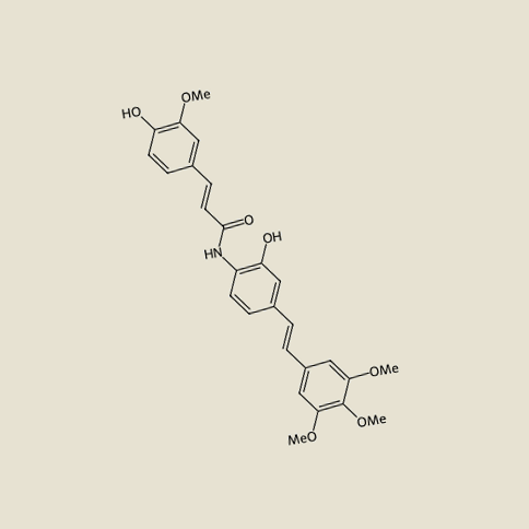 COc1cc(/C=C/C(=O)Nc2ccc(/C=C/c3cc(OC)c(OC)c(OC)c3)cc2O)ccc1O